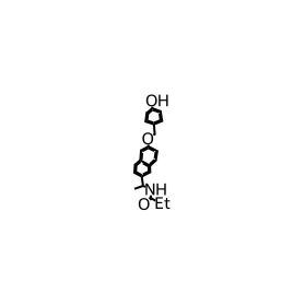 CCC(=O)NC(C)c1ccc2cc(OCc3ccc(O)cc3)ccc2c1